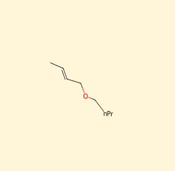 C/C=C/COCCCC